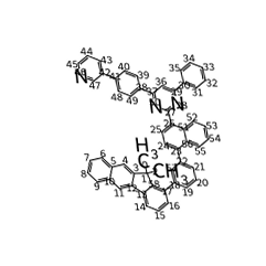 CC1(C)c2cc3ccccc3cc2-c2cccc(-c3cccc(-c4ccc(-c5nc(-c6ccccc6)cc(-c6ccc(-c7cccnc7)cc6)n5)c5ccccc45)c3)c21